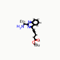 CC[C@H](N)c1nc(C#CCCC(=O)OC(C)(C)C)c2ccccc2n1